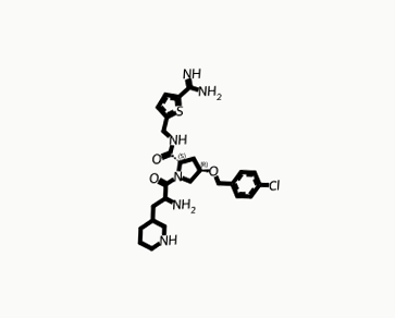 N=C(N)c1ccc(CNC(=O)[C@@H]2C[C@@H](OCc3ccc(Cl)cc3)CN2C(=O)C(N)CC2CCCNC2)s1